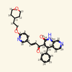 O=C(/C=C/c1ccc(OCCC2CCOCC2)nc1)c1c(-c2ccccc2)c2ccncc2[nH]c1=O